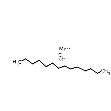 CCCCCCCCCCCCCC.[Cl-].[Cl-].[Mn+2]